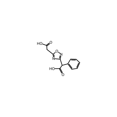 O=C(O)Cc1nc(C(C(=O)O)c2ccccc2)no1